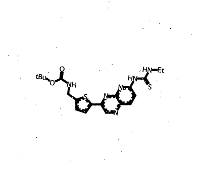 CCNC(=S)Nc1ccc2ncc(-c3ccc(CNC(=O)OC(C)(C)C)s3)nc2n1